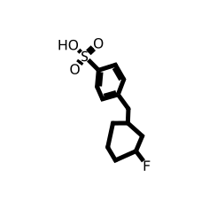 O=S(=O)(O)c1ccc(CC2CCCC(F)C2)cc1